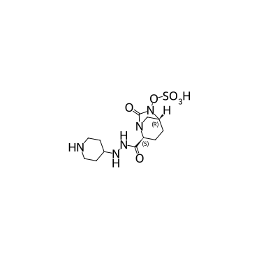 O=C(NNC1CCNCC1)[C@@H]1CC[C@@H]2CN1C(=O)N2OS(=O)(=O)O